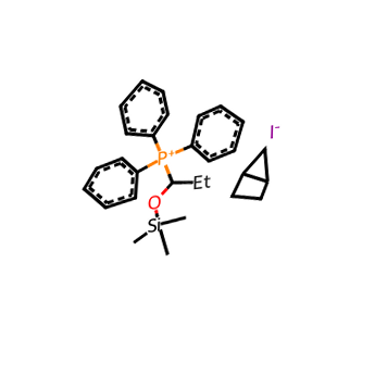 C1CC2CC12.CCC(O[Si](C)(C)C)[P+](c1ccccc1)(c1ccccc1)c1ccccc1.[I-]